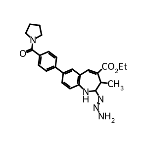 CCOC(=O)C1=Cc2cc(-c3ccc(C(=O)N4CCCC4)cc3)ccc2NC(N=NN)C1C